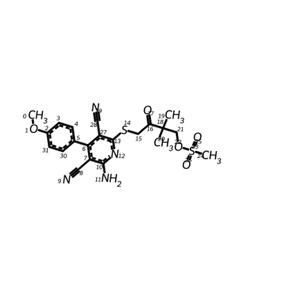 COc1ccc(-c2c(C#N)c(N)nc(SCC(=O)C(C)(C)COS(C)(=O)=O)c2C#N)cc1